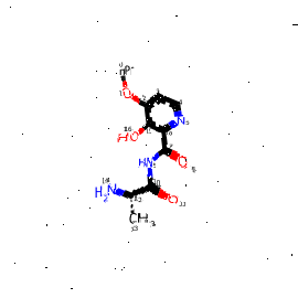 CCCOc1ccnc(C(=O)NC(=O)[C@H](C)N)c1O